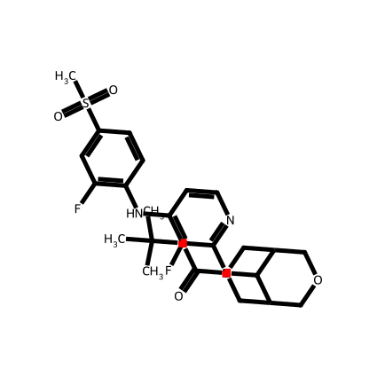 CC(C)(C)OC(=O)N1CC2COCC(C1)C2Oc1nccc(Nc2ccc(S(C)(=O)=O)cc2F)c1F